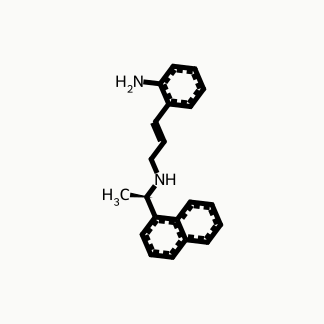 C[C@@H](NC/C=C/c1ccccc1N)c1cccc2ccccc12